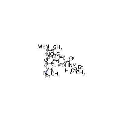 CC/N=c1/cc2oc3cc(NC)c(C)cc3c(-c3ccc(C(=O)NCC(C)(C)CC)cc3C(=O)O)c-2cc1C